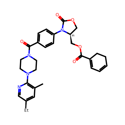 CCc1cnc(N2CCN(C(=O)c3ccc(N4C(=O)OC[C@H]4COC(=O)C4=CC=CCC4)cc3)CC2)c(C)c1